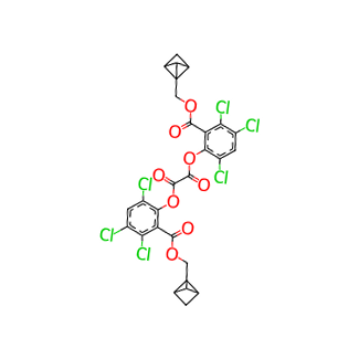 O=C(Oc1c(Cl)cc(Cl)c(Cl)c1C(=O)OCC1C2CC1C2)C(=O)Oc1c(Cl)cc(Cl)c(Cl)c1C(=O)OCC1C2CC1C2